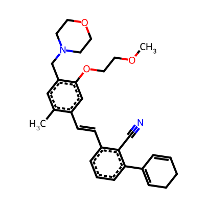 COCCOc1cc(/C=C/c2cccc(C3=CCCC=C3)c2C#N)c(C)cc1CN1CCOCC1